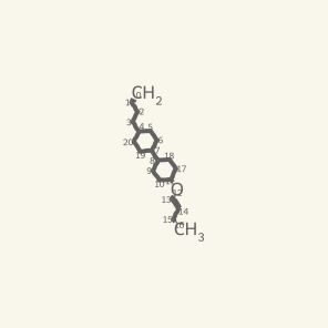 C=CCCC1CCC(C2CCC(OC=CCC)CC2)CC1